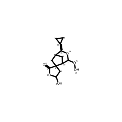 O=C1OC(O)CC12CC1CC2C(OO)OC1=C1CC1